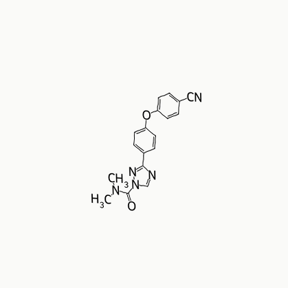 CN(C)C(=O)n1cnc(-c2ccc(Oc3ccc(C#N)cc3)cc2)n1